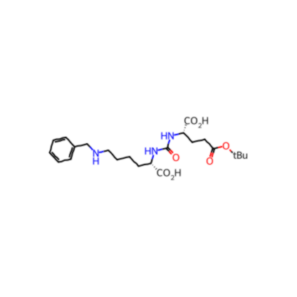 CC(C)(C)OC(=O)CC[C@H](NC(=O)N[C@@H](CCCCNCc1ccccc1)C(=O)O)C(=O)O